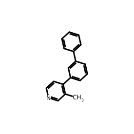 Cc1cnccc1-c1cccc(-c2ccccc2)c1